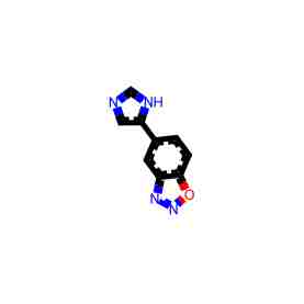 c1ncc(-c2ccc3onnc3c2)[nH]1